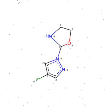 Fc1cnn(C2NCCO2)c1